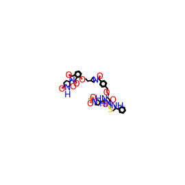 CS(=O)(=O)N1CCC(C(=O)N[C@@H](COCc2ccc(C(=O)N3CC(CCOc4cccc5c4C(=O)N(C4CCC(=O)NC4=O)C5=O)C3)cc2)C(=O)NC2NC(c3ccccc3)CS2)C1